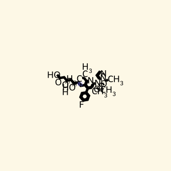 CCn1nccc1N(c1nc(C(C)C)c(/C=C/[C@@H](O)C[C@@H](O)CC(=O)O)c(-c2ccc(F)cc2)c1C)S(C)(=O)=O